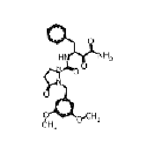 COc1cc(CN2C(=O)CC[C@H]2C(=O)NC(Cc2ccccc2)C(=O)C(N)=O)cc(OC)c1